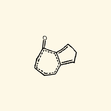 O=c1ccccc2c1=CCC=2